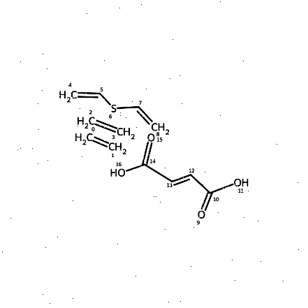 C=C.C=C.C=CSC=C.O=C(O)C=CC(=O)O